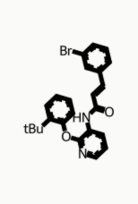 CC(C)(C)c1ccccc1Oc1ncccc1NC(=O)C=Cc1cccc(Br)c1